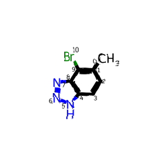 Cc1ccc2[nH]nnc2c1Br